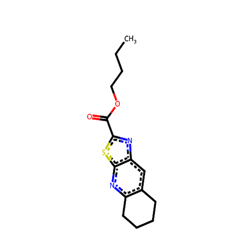 CCCCOC(=O)c1nc2cc3c(nc2s1)CCCC3